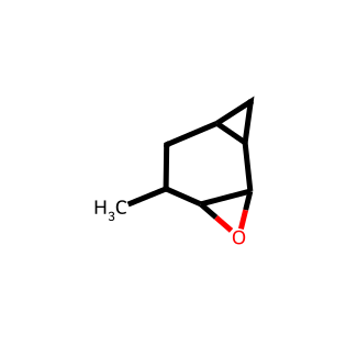 CC1CC2CC2C2OC12